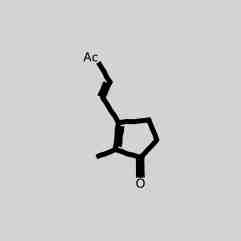 CC(=O)/C=C/C1=C(C)C(=O)CC1